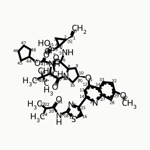 C=C[C@@H]1C[C@]1(NC(=O)C1C[C@@H](Oc2cc(-c3csc(NC(=O)C(C)C)n3)nc3cc(OC)ccc23)CN1C(=O)C(NC(=O)OC1CCCC1)C(C)(C)C)P(=O)(O)OCC